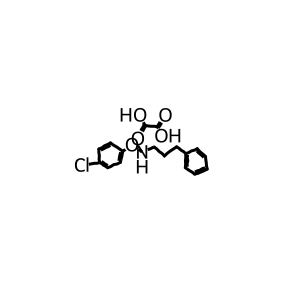 Clc1ccc(ONCCCc2ccccc2)cc1.O=C(O)C(=O)O